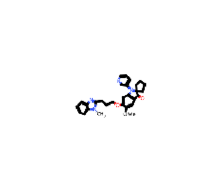 COc1cc2c(cc1OCCCc1nc3ccccc3n1C)N(c1cccnc1)C1(CCCC1)C2=O